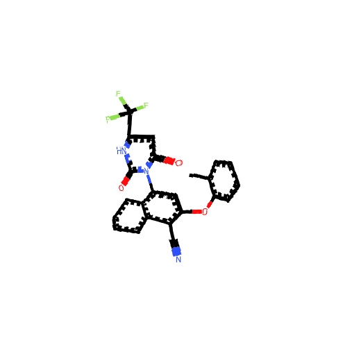 Cc1ccccc1Oc1cc(-n2c(=O)cc(C(F)(F)F)[nH]c2=O)c2ccccc2c1C#N